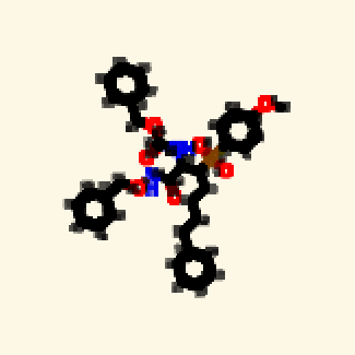 COc1ccc(S(=O)(=O)C(CCCCc2ccccc2)C(NC(=O)OCc2ccccc2)C(=O)NOCc2ccccc2)cc1